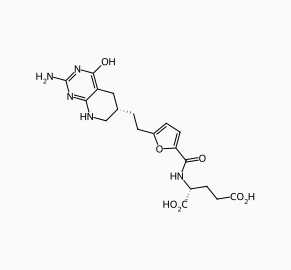 Nc1nc(O)c2c(n1)NC[C@@H](CCc1ccc(C(=O)N[C@H](CCC(=O)O)C(=O)O)o1)C2